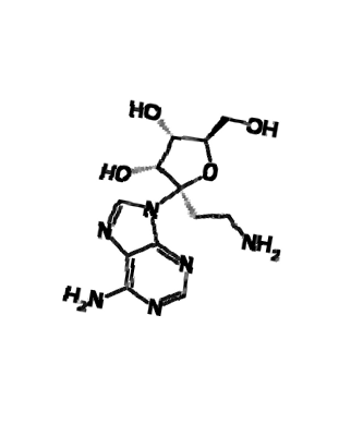 NCC[C@@]1(n2cnc3c(N)ncnc32)O[C@H](CO)[C@@H](O)[C@H]1O